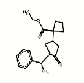 CCOC(=O)C1(C2CC(=O)N([C@@H](C)c3ccccc3)C2)CCC1